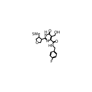 CSC1COCC1c1nc(C(=O)NCc2ccc(F)cc2)c(CO)c(=O)[nH]1